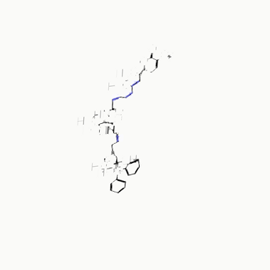 CC[C@@H](C/C=C\NC(=O)[C@@H](NC(=O)\C=C/C=C\C(C)=C\[C@H](C)[C@@H]1CC=C(OC)C(=O)O1)C(C)(C)C)CC(C)(C)[Si](O)(c1ccccc1)c1ccccc1